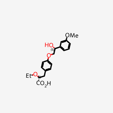 CCO[C@H](Cc1ccc(OC[C@@H](O)c2cccc(OC)c2)cc1)C(=O)O